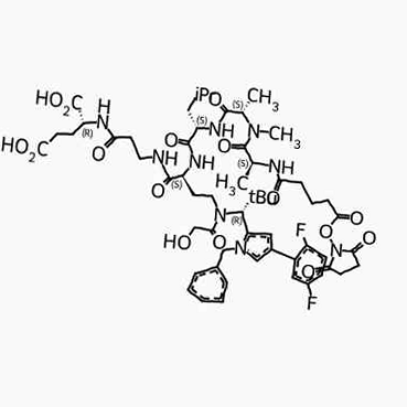 CC(C)C[C@H](NC(=O)[C@H](C)N(C)C(=O)[C@H](C)NC(=O)CCCC(=O)ON1C(=O)CCC1=O)C(=O)N[C@@H](CCN(C(=O)CO)[C@@H](c1cc(-c2cc(F)ccc2F)cn1Cc1ccccc1)C(C)(C)C)C(=O)NCCC(=O)N[C@H](CCC(=O)O)C(=O)O